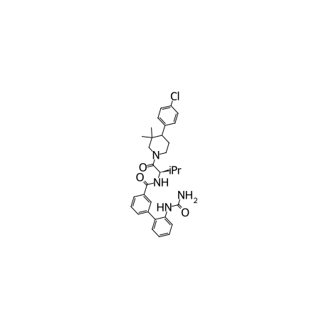 CC(C)[C@@H](NC(=O)c1cccc(-c2ccccc2NC(N)=O)c1)C(=O)N1CCC(c2ccc(Cl)cc2)C(C)(C)C1